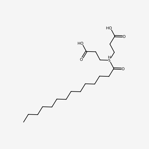 CCCCCCCCCCCCCC(=O)[SH](CCC(=O)O)CCC(=O)O